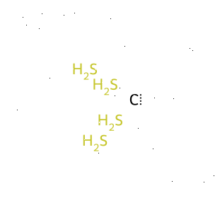 S.S.S.S.[C]